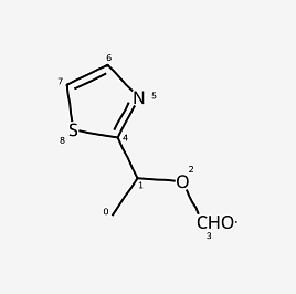 CC(O[C]=O)c1nccs1